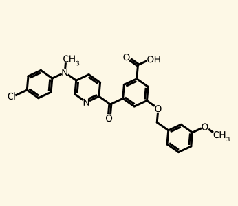 COc1cccc(COc2cc(C(=O)O)cc(C(=O)c3ccc(N(C)c4ccc(Cl)cc4)cn3)c2)c1